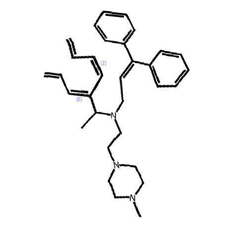 C=C/C=C\C(=C/C=C)C(C)N(CC=C(c1ccccc1)c1ccccc1)CCN1CCN(C)CC1